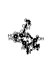 CCn1nc(C)cc1C(=O)Nc1nc2cc(C(=O)O)cc(OC)c2n1C/C=C/Cn1c(NC(=O)c2cc(C)nn2CC)nc2cc(C(=O)O)cc(OCCCN(C)C(=O)OCc3ccc(O[C@@H]4O[C@H](C(=O)O)[C@@H](O)[C@H](O)[C@H]4O)cc3NC(=O)CCNC(=O)CCN3C(=O)C=CC3=O)c21